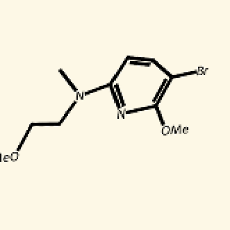 COCCN(C)c1ccc(Br)c(OC)n1